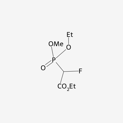 CCOC(=O)C(F)P(=O)(OC)OCC